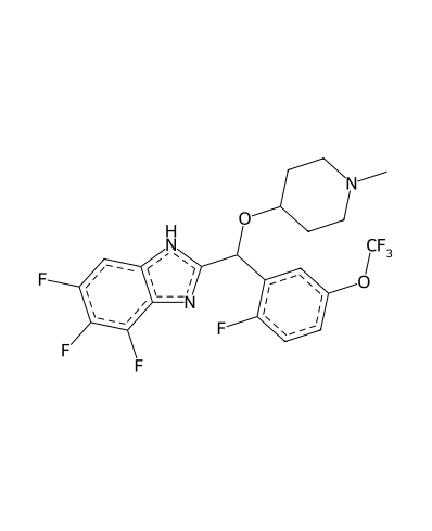 CN1CCC(OC(c2nc3c(F)c(F)c(F)cc3[nH]2)c2cc(OC(F)(F)F)ccc2F)CC1